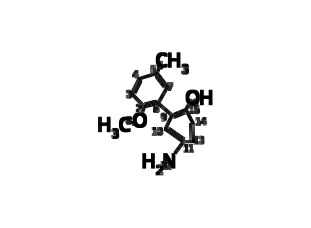 COc1ccc(C)cc1-c1cc(N)ccc1O